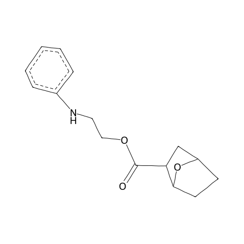 O=C(OCCNc1ccccc1)C1CC2CCC1O2